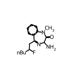 CCCCC(F)CC1=NC(N)C(=O)N(C)c2ccccc21